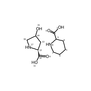 O=C(O)C1CCCCN1.O=C(O)[C@@H]1CC(O)CN1